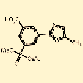 COP(=O)(OC)c1cc(C(=O)O)cc(-c2ncc(C)s2)c1